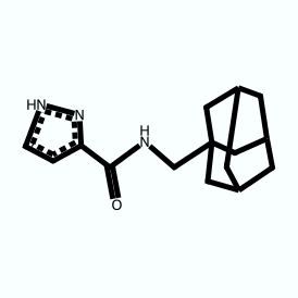 O=C(NCC12CC3CC(CC(C3)C1)C2)c1cc[nH]n1